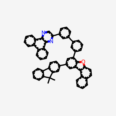 CC1(C)c2ccccc2-c2ccc(-c3cc(-c4cccc(-c5cccc(-c6cnc7c8ccccc8c8ccccc8c7n6)c5)c4)c4oc5ccc6ccccc6c5c4c3)cc21